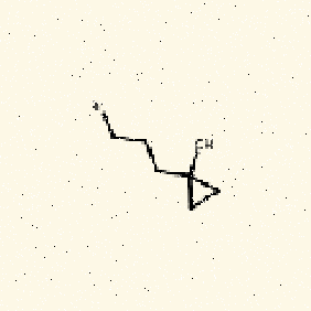 OC1(CCCBr)CC1